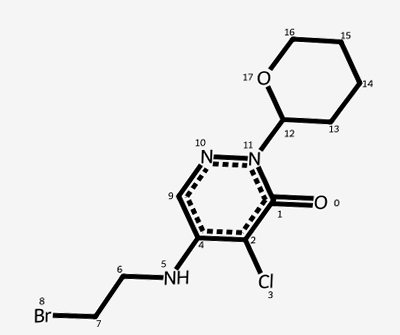 O=c1c(Cl)c(NCCBr)cnn1C1CCCCO1